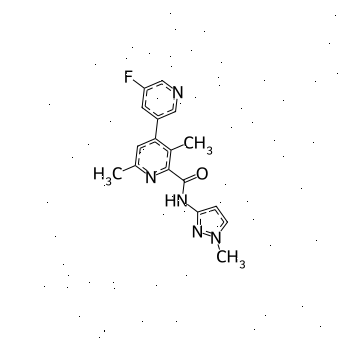 Cc1cc(-c2cncc(F)c2)c(C)c(C(=O)Nc2ccn(C)n2)n1